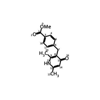 COC(=O)c1ccc(Cc2c(C)[nH]c(C)cc2=O)cc1